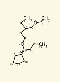 C=COCC(CC)CCOC(CCC)=C1CCCC1